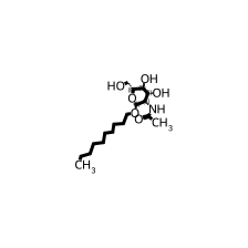 CCCCCCCCCCO[C@H]1O[C@H](CO)[C@@H](O)[C@H](O)[C@@H]1NC(C)=O